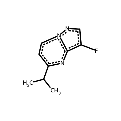 CC(C)c1ccn2ncc(F)c2n1